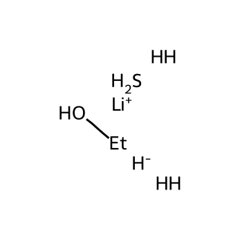 CCO.S.[H-].[HH].[HH].[Li+]